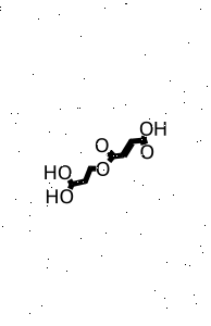 O=C(O)C=CC(=O)OCCC(O)O